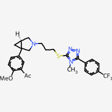 COc1ccc(C23C[C@H]2CN(CCCSc2nnc(-c4ccc(C(F)(F)F)cc4)n2C)C3)cc1C(C)=O